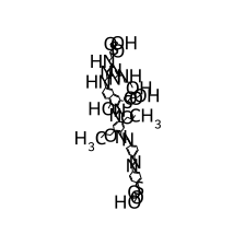 CCOc1cc(N=Nc2c(SOOO)cc3cc(Nc4nc(NCCO)nc(NCCS(=O)(=O)O)n4)ccc3c2O)c(OCC)cc1N=Nc1ccc(N=Nc2ccc(SOOO)cc2)cc1